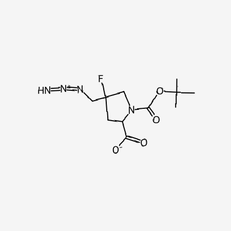 CC(C)(C)OC(=O)N1CC(F)(CN=[N+]=N)CC1C(=O)[O-]